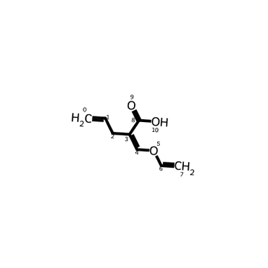 C=CCC(=COC=C)C(=O)O